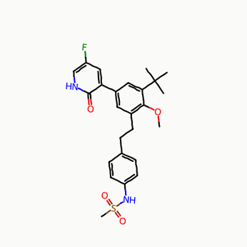 COc1c(CCc2ccc(NS(C)(=O)=O)cc2)cc(-c2cc(F)c[nH]c2=O)cc1C(C)(C)C